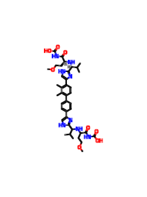 COCCC(NC(c1nc(-c2ccc(-c3ccc(-c4c[nH]c([C@H](N[C@@H](CCOC)C(=O)NC(=O)O)C(C)C)n4)c(C)c3C)cc2)c[nH]1)C(C)C)C(=O)NC(=O)O